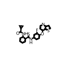 O=C(Nc1ccccc1C(=S)Nc1ccc(Oc2ccnc3ccsc23)c(F)c1)C1CC1